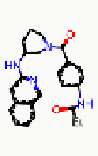 CCC(=O)Nc1ccc(C(=O)N2CCCC(Nc3cc4ccccc4cn3)C2)cc1